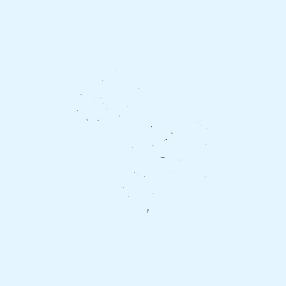 CC(C)OC(=O)[C@H](C)NP(=O)(OC[C@@]1(C)OC[C@@](OC(=O)C2COC2)(c2ccc3c(N)ncnn23)[C@@H]1OC(=O)C1COC1)Oc1ccccc1